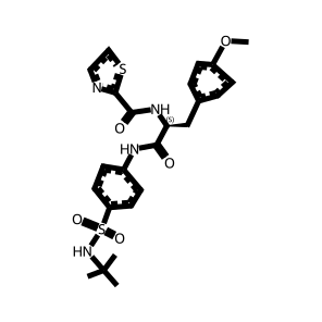 COc1ccc(C[C@H](NC(=O)c2nccs2)C(=O)Nc2ccc(S(=O)(=O)NC(C)(C)C)cc2)cc1